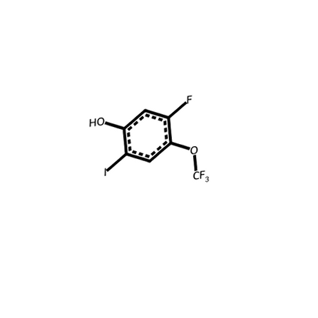 Oc1cc(F)c(OC(F)(F)F)cc1I